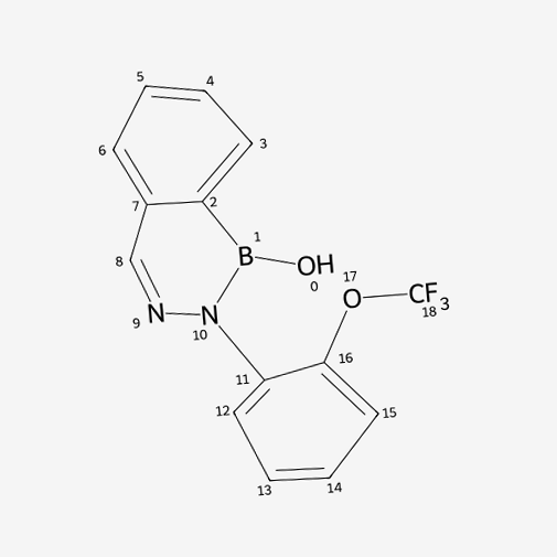 OB1c2ccccc2C=NN1c1ccccc1OC(F)(F)F